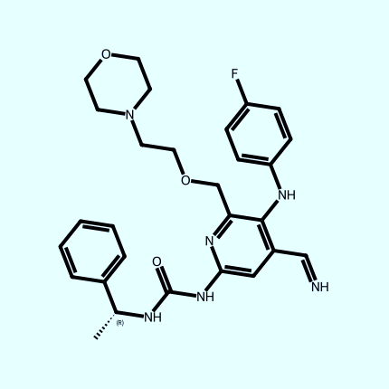 C[C@@H](NC(=O)Nc1cc(C=N)c(Nc2ccc(F)cc2)c(COCCN2CCOCC2)n1)c1ccccc1